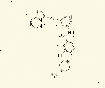 CN1CCN(Cc2ccc(C(=O)Nc3cncc(C#Cc4cnc5cccnn45)c3)cc2Cl)CC1